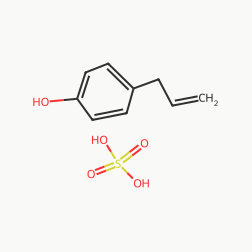 C=CCc1ccc(O)cc1.O=S(=O)(O)O